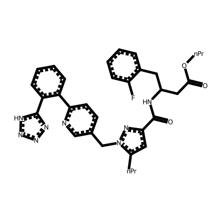 CCCOC(=O)CC(Cc1ccccc1F)NC(=O)c1cc(CCC)n(Cc2ccc(-c3ccccc3-c3nnn[nH]3)nc2)n1